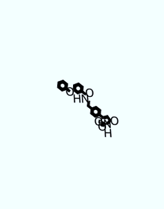 O=C1C=C(c2ccc(CCNC(=O)c3cccc(Oc4ccccc4)c3)cc2)S(=O)(=O)N1